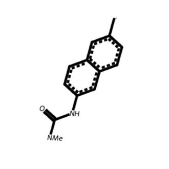 [CH2]c1ccc2cc(NC(=O)NC)ccc2c1